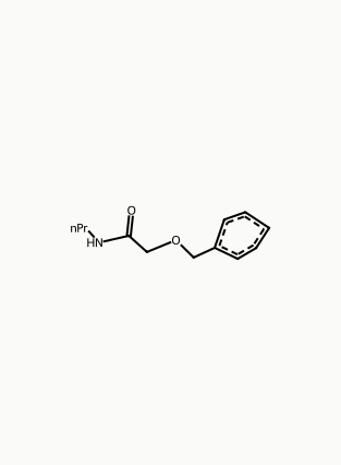 CCCNC(=O)COCc1ccccc1